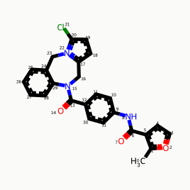 Cc1occc1C(=O)Nc1ccc(C(=O)N2Cc3ccc(Cl)n3Cc3ccccc32)cc1